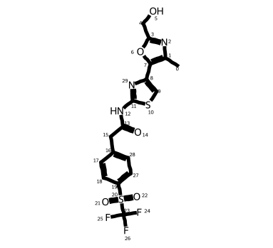 Cc1nc(CO)oc1-c1csc(NC(=O)Cc2ccc(S(=O)(=O)C(F)(F)F)cc2)n1